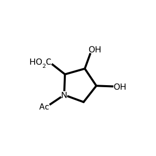 CC(=O)N1CC(O)C(O)C1C(=O)O